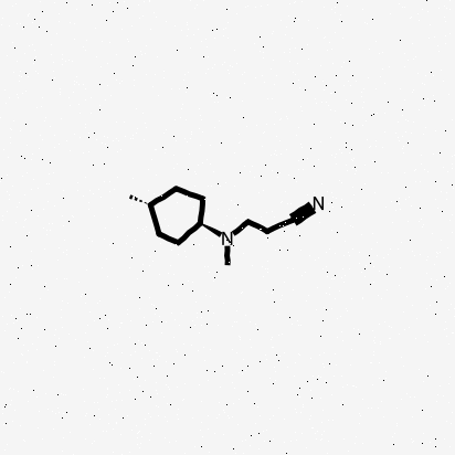 CN(CCC#N)[C@H]1CC[C@H](C)CC1